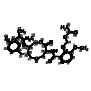 COc1ccnc(C(=O)N[C@H]2COC[C@H](Cc3ccc(F)cc3)[C@@H](OCC(C)C)[C@H](C)OC2=O)c1OCOC(C)=O